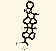 CCCC(CC(=O)O)c1ccc2c3c(cccc13)C1(CC)c3ccc4c(=O)n5c6ccccc6nc5c5ccc(c3c45)C21CC